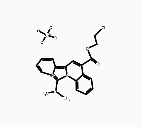 CN(C)c1n2c3ccccc3c(C(=O)OCCCl)cc2c2cccc[n+]12.[O-][Cl+3]([O-])([O-])[O-]